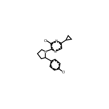 Clc1ccc(C2CCCN2c2ncc(C3CC3)nc2Cl)cc1